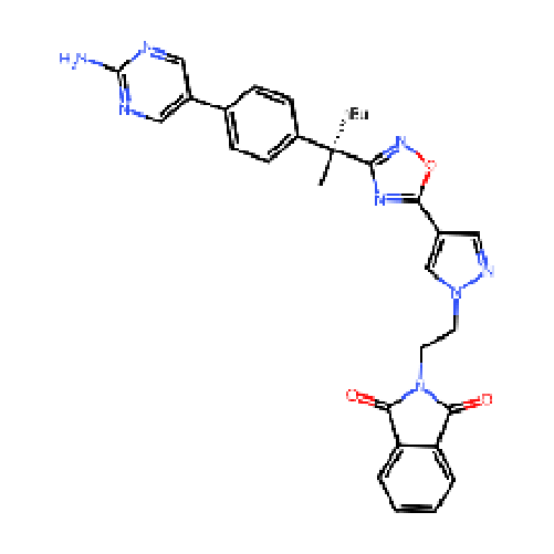 CCCC[C@](C)(c1ccc(-c2cnc(N)nc2)cc1)c1noc(-c2cnn(CCN3C(=O)c4ccccc4C3=O)c2)n1